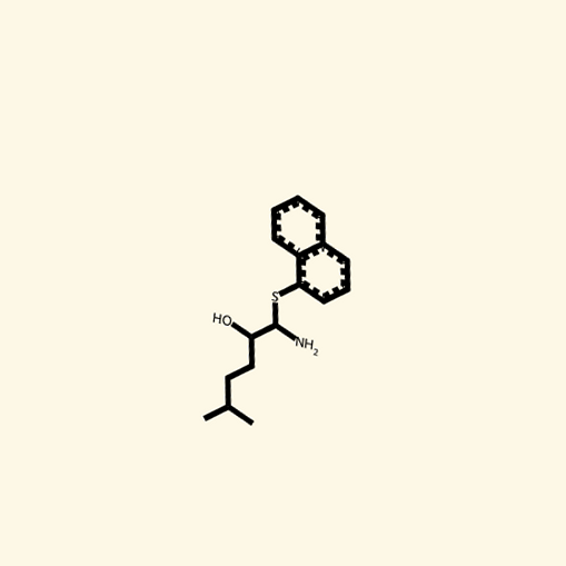 CC(C)CCC(O)C(N)Sc1cccc2ccccc12